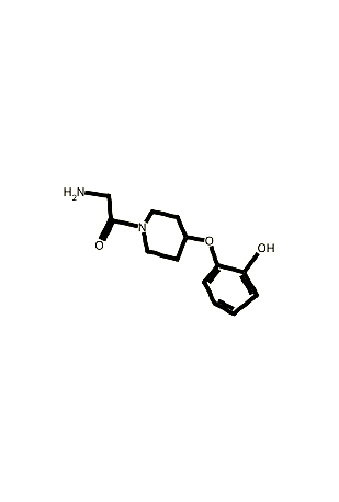 NCC(=O)N1CCC(Oc2ccccc2O)CC1